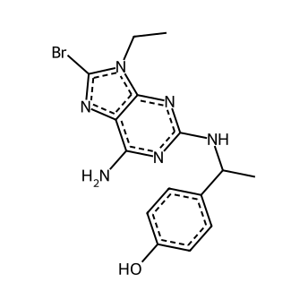 CCn1c(Br)nc2c(N)nc(NC(C)c3ccc(O)cc3)nc21